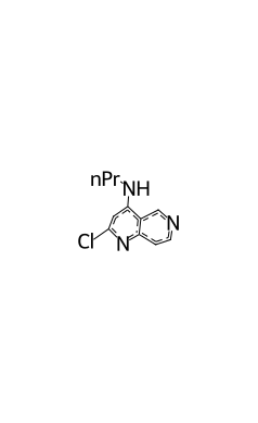 CCCNc1cc(Cl)nc2ccncc12